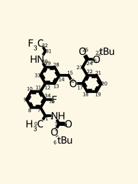 CC(NC(=O)OC(C)(C)C)c1cccc(-c2cc(COc3ccccc3CC(=O)OC(C)(C)C)cc(NCC(F)(F)F)c2)c1F